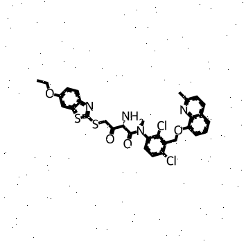 CCOc1ccc2nc(SCC(=O)[C@H](N)C(=O)N(C)c3ccc(Cl)c(COc4cccc5ccc(C)nc45)c3Cl)sc2c1